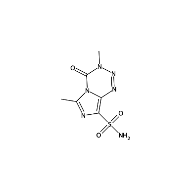 Cc1nc(S(N)(=O)=O)c2nnn(C)c(=O)n12